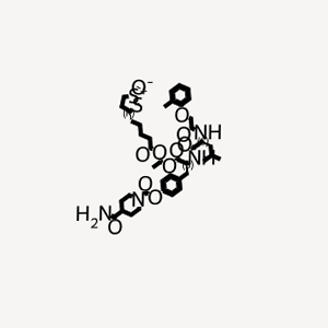 Cc1ccccc1OCC(=O)N[C@@H](CC(C)C)C(=O)N[C@@H](Cc1ccc(OC(=O)N2CCC(C(N)=O)CC2)cc1)C(=O)OC(C)OC(=O)CCCC[C@@H]1CC[S+]([O-])S1